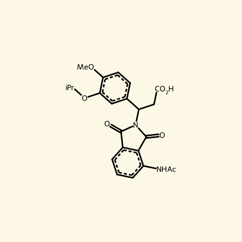 COc1ccc(C(CC(=O)O)N2C(=O)c3cccc(NC(C)=O)c3C2=O)cc1OC(C)C